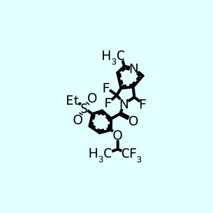 CCS(=O)(=O)c1ccc(OC(C)C(F)(F)F)c(C(=O)N2C(F)c3cnc(C)cc3C2(F)F)c1